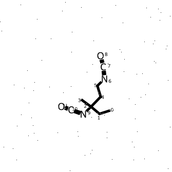 CCC(C)(CCN=C=O)N=C=O